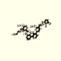 COc1cnc(C(=O)Nc2cccc(-c3nccc(-c4ccc(CNC[C@H]5CCC(=O)N5)c(OC)n4)c3Cl)c2Cl)cc1CNCCO